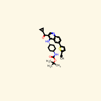 C#Cc1ccc(-c2ccc3ncc(C(=O)C4CC4)c(N[C@H]4CC[C@H](NC(=O)OC(C)(C)C)CC4)c3c2)s1